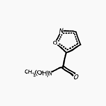 CN(O)C(=O)c1ccno1